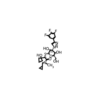 CN(CC1CC1)C(=O)[C@H](S[C@@H]1O[C@H](CO)[C@H](O)[C@H](n2cc(-c3cc(F)c(F)c(F)c3)nn2)[C@H]1O)C1(O)CCC1